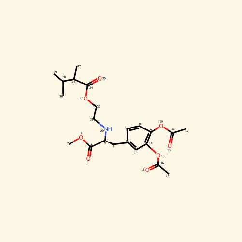 COC(=O)[C@H](Cc1ccc(OC(C)=O)c(OC(C)=O)c1)NCCOC(=O)C(C)C(C)C